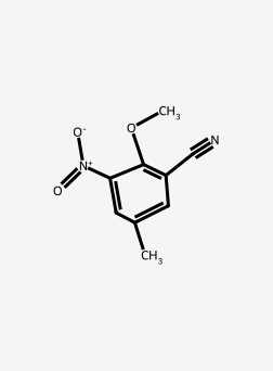 COc1c(C#N)cc(C)cc1[N+](=O)[O-]